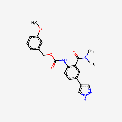 COc1cccc(COC(=O)Nc2ccc(-c3cn[nH]c3)cc2C(=O)N(C)C)c1